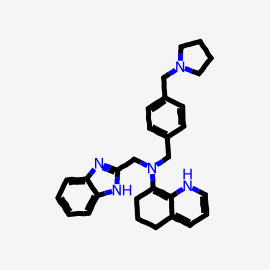 C1=CNC2=C(N(Cc3ccc(CN4CCCC4)cc3)Cc3nc4ccccc4[nH]3)CCCC2=C1